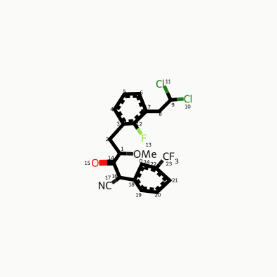 COC(Cc1cccc(CC(Cl)Cl)c1F)C(=O)C(C#N)c1cccc(C(F)(F)F)c1